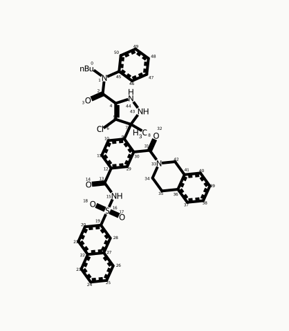 CCCCN(C(=O)C1=C(Cl)C(C)(c2ccc(C(=O)NS(=O)(=O)c3ccc4ccccc4c3)cc2C(=O)N2CCc3ccccc3C2)NN1)c1ccccc1